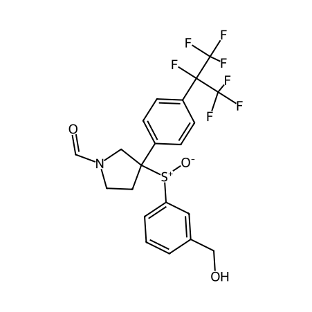 O=CN1CCC(c2ccc(C(F)(C(F)(F)F)C(F)(F)F)cc2)([S+]([O-])c2cccc(CO)c2)C1